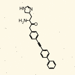 N[C@@H](CC1CNC=N1)C(=O)Cc1ccc(C#Cc2ccc(-c3ccccc3)cc2)cc1